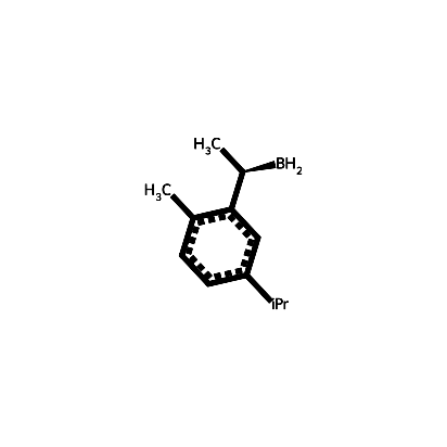 B[C@H](C)c1cc(C(C)C)ccc1C